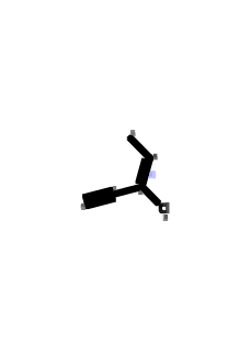 C#C/C(Cl)=C\C